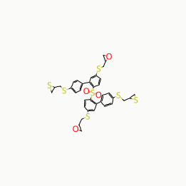 O=S(=O)(c1ccc(SCC2CO2)cc1-c1ccc(SCC2CS2)cc1)c1ccc(SCC2CO2)cc1-c1ccc(SCC2CS2)cc1